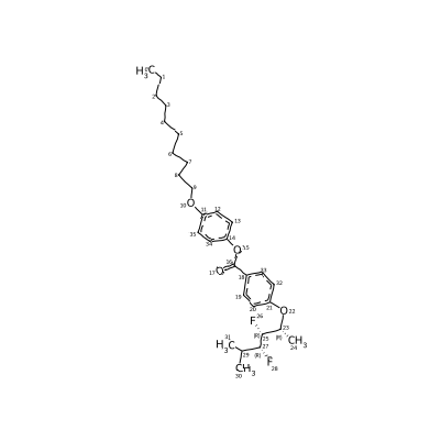 CCCCCCCCCCOc1ccc(OC(=O)c2ccc(O[C@H](C)[C@@H](F)[C@H](F)C(C)C)cc2)cc1